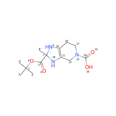 CC(C)(C)OC(=O)C1(C)NC2=C(CN(C(=O)O)CC2)N1